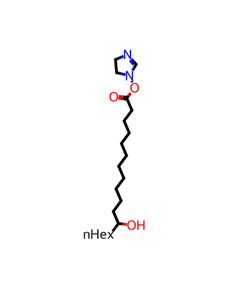 CCCCCCC(O)CCCCCCCCCCC(=O)ON1C=NCC1